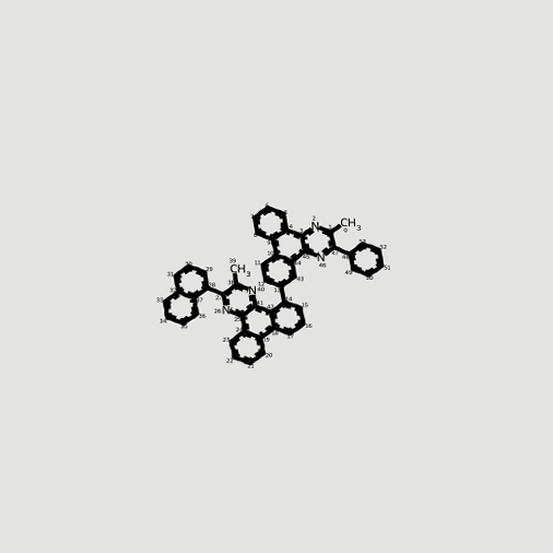 Cc1nc2c3ccccc3c3ccc(-c4cccc5c6ccccc6c6nc(-c7cccc8ccccc78)c(C)nc6c45)cc3c2nc1-c1ccccc1